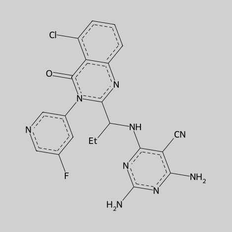 CCC(Nc1nc(N)nc(N)c1C#N)c1nc2cccc(Cl)c2c(=O)n1-c1cncc(F)c1